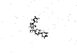 O=C(N1CCN(c2ccccc2)CC1)n1cnc(-c2cccs2)n1